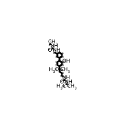 CCNC(=O)NCc1cccc(-c2ccc(C(C)(C)CCCNC(=O)NC(C)C)cc2O)c1